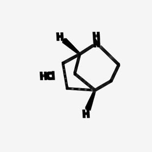 C1C[C@@H]2CC[C@@H](C2)N1.Cl